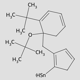 CC(C)(C)OC1(CC2=[C]([SnH])CC=C2)CC=CC=C1C(C)(C)C